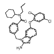 CCCN(C(=O)c1cccc(Cn2c(N)nc3ccc(Oc4cc(Cl)ccc4Cl)cc32)c1)C1CCCCC1